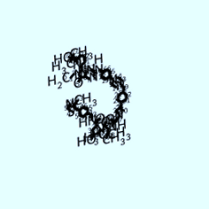 C=CCn1c(=O)c2cnc(Nc3ccc(N4CCN(CC5CCC(C6CN(CC(=O)N[C@H](C(=O)N7CC(O)CC7C(=O)NCc7ccc(-c8scnc8C)cc7)C(C)(C)C)C6)CC5)CC4)cc3)nc2n1-c1cccc(C(C)(C)O)n1